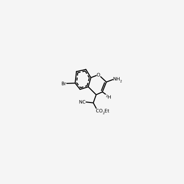 [2H]C1=C(N)Oc2ccc(Br)cc2C1C(C#N)C(=O)OCC